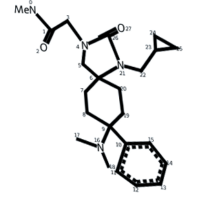 CNC(=O)CN1CC2(CCC(c3ccccc3)(N(C)C)CC2)N(CC2CC2)C1=O